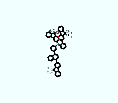 CC1(C)c2ccccc2-c2cc(N(c3cccc(-c4ccc(-c5ccc6c(c5)C(C)(C)c5ccccc5-6)c5ccccc45)c3)c3ccccc3-c3ccc4c(c3)C(C)(C)c3ccccc3-4)ccc21